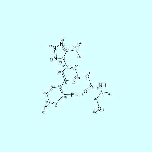 COCC(C)NC(=O)Oc1cc(-c2ccc(F)cc2F)cc(-n2nnnc2C(C)C)c1